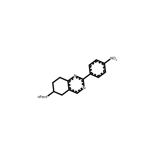 CCCCCC1CCc2nc(-c3ccc([N+](=O)[O-])cc3)ncc2C1